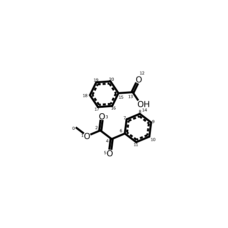 COC(=O)C(=O)c1ccccc1.O=C(O)c1ccccc1